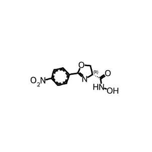 O=C(NO)[C@H]1COC(c2ccc([N+](=O)[O-])cc2)=N1